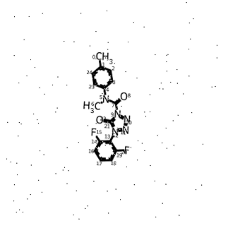 Cc1ccc(N(C)C(=O)n2nnn(-c3c(F)cccc3F)c2=O)cc1